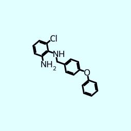 Nc1cccc(Cl)c1NCc1ccc(Oc2ccccc2)cc1